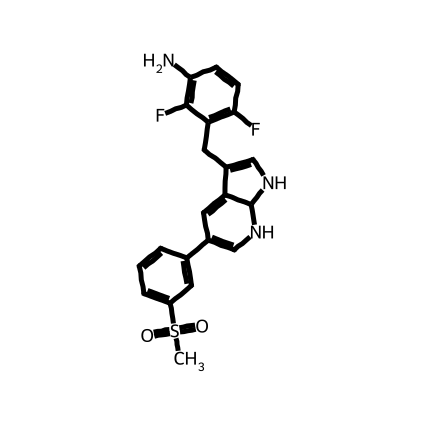 CS(=O)(=O)c1cccc(C2=CNC3NC=C(Cc4c(F)ccc(N)c4F)C3=C2)c1